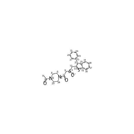 CC(=O)N1CCN(C(=O)C[S+]([O-])Cc2sc3ccccc3c2-c2ccccc2)CC1